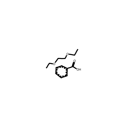 CCOCCOCC.O=C(O)c1ccccc1